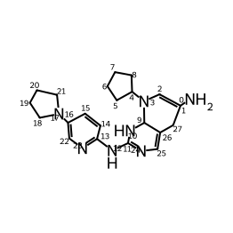 NC1=CN(C2CCCC2)C2NC(Nc3ccc(N4CCCC4)cn3)=NC=C2C1